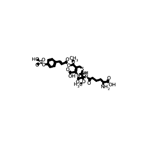 COC(OC(=O)C=Cc1ccc(OS(=O)(=O)O)cc1)C1=C(C(=O)O)N2C(=O)C(NC(=O)CCCC(N)C(=O)O)(OC)[C@@H]2SC1